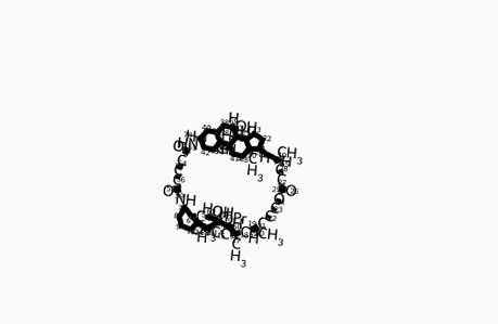 CCC[C@H]1[C@@H]2[C@@H](O)CC3C4CCC[C@]3(C)[C@H]2CC[C@]1(C)C[C@H](C)CCCOC(=O)CC[C@@H](C)[C@H]1CC[C@H]2[C@@H]3[C@@H](O)CC5C[C@@H](CC[C@]5(C)[C@H]3CC[C@]12C)NC(=O)CCCC(=O)N4